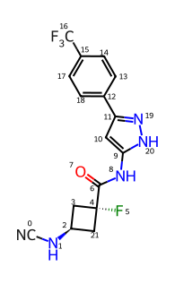 N#CN[C@H]1C[C@@](F)(C(=O)Nc2cc(-c3ccc(C(F)(F)F)cc3)n[nH]2)C1